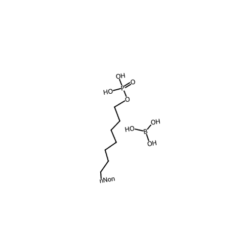 CCCCCCCCCCCCCCCCOP(=O)(O)O.OB(O)O